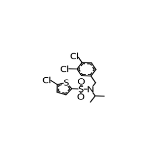 CC(C)N(Cc1ccc(Cl)c(Cl)c1)S(=O)(=O)c1ccc(Cl)s1